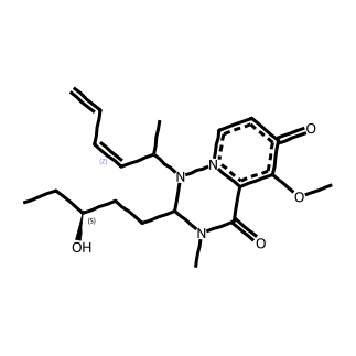 C=C/C=C\C(C)N1C(CC[C@@H](O)CC)N(C)C(=O)c2c(OC)c(=O)ccn21